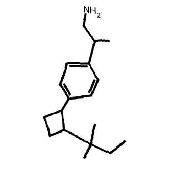 CCC(C)(C)C1CCC1c1ccc(C(C)CN)cc1